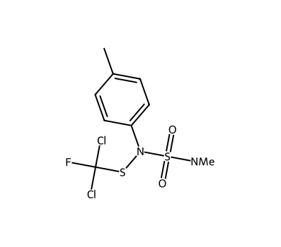 CNS(=O)(=O)N(SC(F)(Cl)Cl)c1ccc(C)cc1